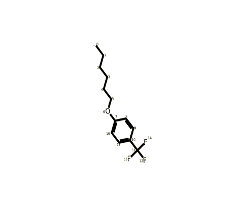 [CH2]CCCCCOc1ccc(C(F)(F)F)cc1